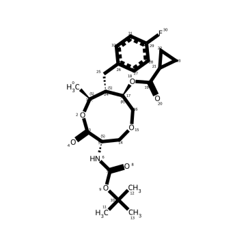 C[C@@H]1OC(=O)[C@@H](NC(=O)OC(C)(C)C)COC[C@H](OC(=O)C2CC2)[C@H]1Cc1ccc(F)cc1